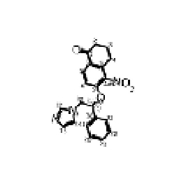 O=C1CCCc2c1ccc(O[C@H](Cn1ccnc1)c1ccccc1)c2[N+](=O)[O-]